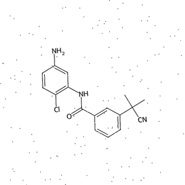 CC(C)(C#N)c1cccc(C(=O)Nc2cc(N)ccc2Cl)c1